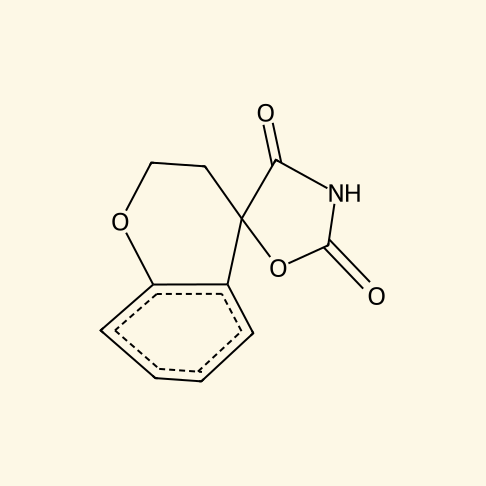 O=C1NC(=O)C2(CCOc3ccccc32)O1